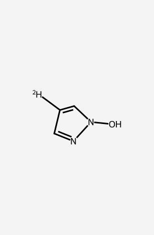 [2H]c1cnn(O)c1